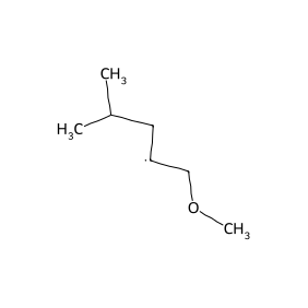 COC[CH]CC(C)C